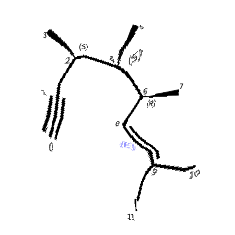 C#C[C@@H](C)[C@@H](C)[C@@H](C)/C=C(\C)I